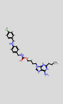 CCCc1nc(N)c2ncn(CCCCOC(=O)NCc3ccc(NCc4ccc(Cl)cc4)cc3)c2n1